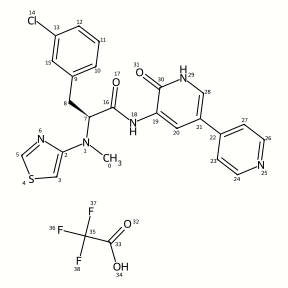 CN(c1cscn1)[C@@H](Cc1cccc(Cl)c1)C(=O)Nc1cc(-c2ccncc2)c[nH]c1=O.O=C(O)C(F)(F)F